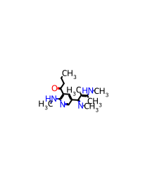 CCCC(=O)c1cc(C(=N/C)/C(C)=C(\C)NC)cnc1NC